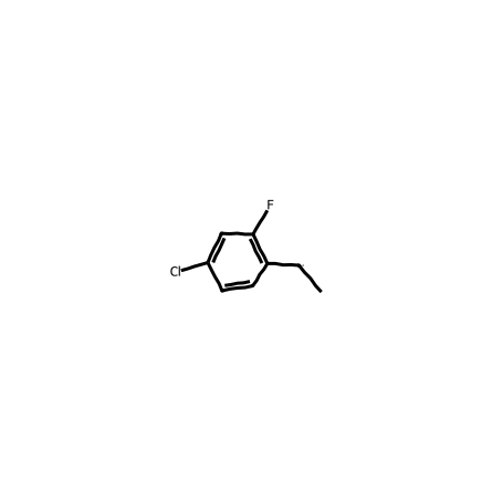 C[CH]c1ccc(Cl)cc1F